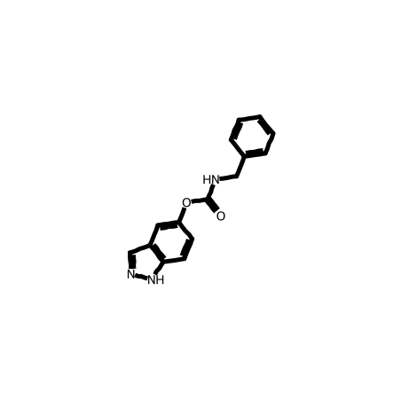 O=C(NCc1ccccc1)Oc1ccc2[nH]ncc2c1